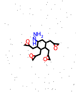 NNC1CC(CC2CO2)C(CC2CO2)C(CC2CO2)C1CC1CO1